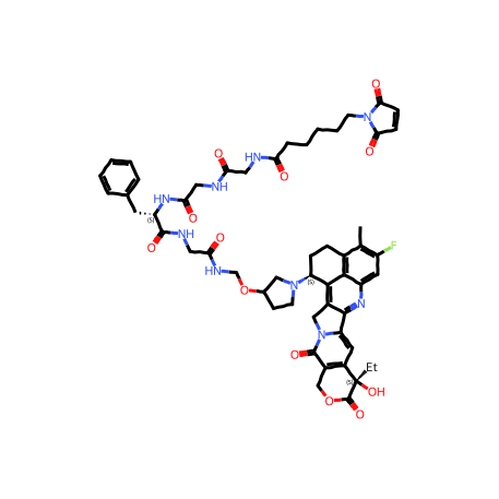 CC[C@@]1(O)C(=O)OCc2c1cc1n(c2=O)Cc2c-1nc1cc(F)c(C)c3c1c2[C@@H](N1CCC(OCNC(=O)CNC(=O)[C@H](Cc2ccccc2)NC(=O)CNC(=O)CNC(=O)CCCCCN2C(=O)C=CC2=O)C1)CC3